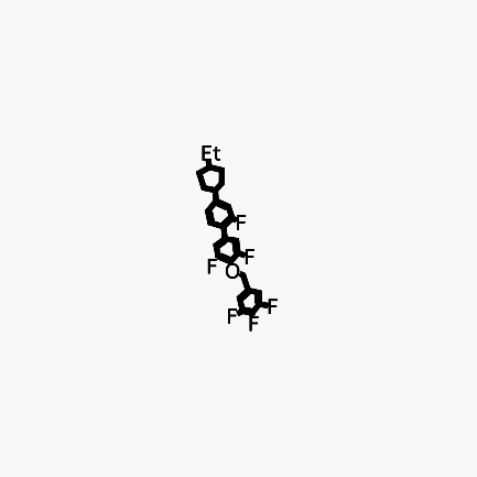 CCC1CCC(c2ccc(-c3cc(F)c(OCc4cc(F)c(F)c(F)c4)c(F)c3)c(F)c2)CC1